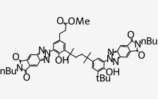 CCCCN1C(=O)c2cc3nn(-c4cc(C(C)(C)CCC(C)(C)c5cc(CCC(=O)OC)cc(-n6nc7cc8c(cc7n6)C(=O)N(CCCC)C8=O)c5O)cc(C(C)(C)C)c4O)nc3cc2C1=O